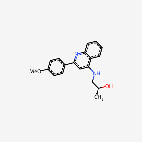 COc1ccc(-c2cc(NC[C@H](C)O)c3ccccc3n2)cc1